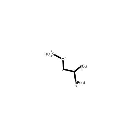 CCCCCC(CCCC)COS(=O)(=O)O